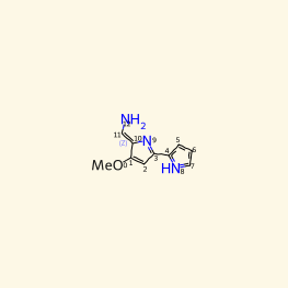 COC1=CC(c2ccc[nH]2)=N/C1=C\N